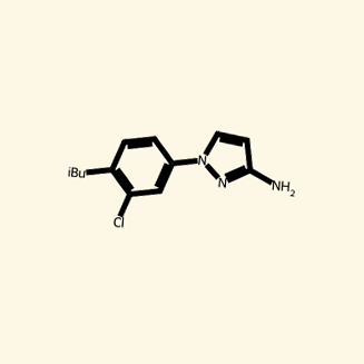 CCC(C)c1ccc(-n2ccc(N)n2)cc1Cl